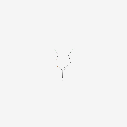 CCC1=CC(Br)C(Cl)S1